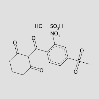 CS(=O)(=O)c1ccc(C(=O)C2C(=O)CCCC2=O)c([N+](=O)[O-])c1.O=S(=O)(O)O